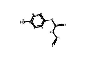 O=POC(=O)Cc1ccc(O)cc1